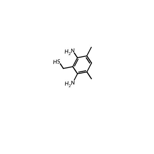 Cc1cc(C)c(N)c(CS)c1N